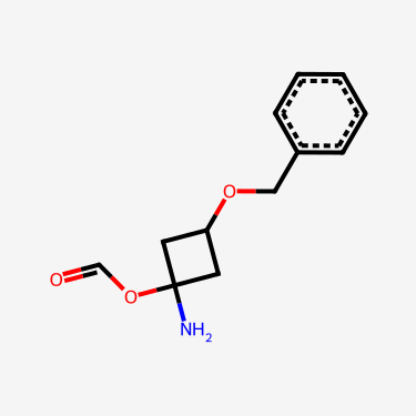 NC1(OC=O)CC(OCc2ccccc2)C1